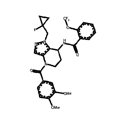 COc1ccc(C(=O)N2CCC(NC(=O)c3ccccc3OC(F)(F)F)c3c2cnn3CC2(F)CC2)cc1OC